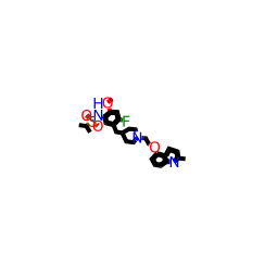 COc1cc(F)c(CC2CCN(CCOc3cccc4nc(C)ccc34)CC2)cc1NS(=O)(=O)C(C)C